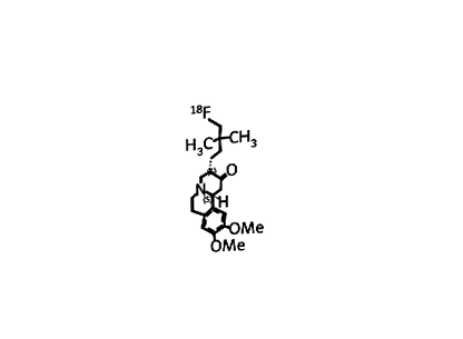 COc1cc2c(cc1OC)[C@@H]1CC(=O)[C@@H](CCC(C)(C)CC[18F])CN1CC2